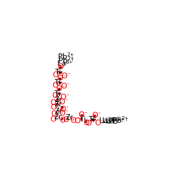 [La+3].[La+3].[La+3].[La+3].[O-][Zr][O-].[O-][Zr][O-].[O-][Zr][O-].[O-][Zr][O-].[O-][Zr][O-].[O]=[Ti]([O-])[O-].[O]=[Ti]([O-])[O-].[O]=[Ti]([O-])[O-].[O]=[Ti]([O-])[O-].[O]=[Ti]([O-])[O-].[Pb+2].[Pb+2].[Pb+2].[Pb+2]